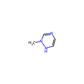 CN1C=NC=CN1